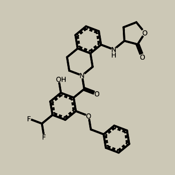 O=C1OCCC1Nc1cccc2c1CN(C(=O)c1c(O)cc(C(F)F)cc1OCc1ccccc1)CC2